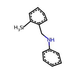 [SiH3]c1ccccc1CNc1ccccc1